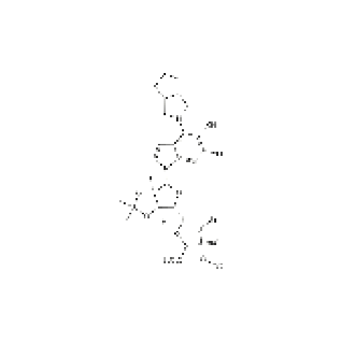 CCOC(=O)C(OC[C@H]1O[C@@H](n2ccc3c(N4CC5CCCC5C4)c(C#N)c(Cl)nc32)[C@@H]2OC(C)(C)O[C@@H]21)P(=O)(OCC)OCC